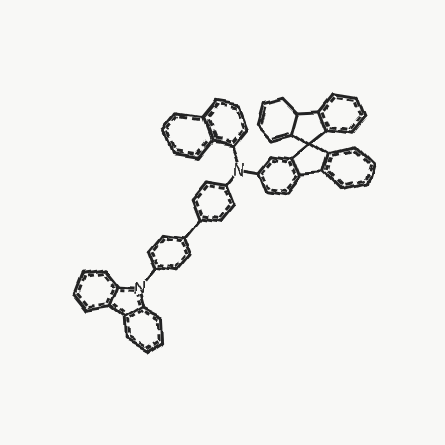 C1=CCC2C(=C1)C1(c3ccccc3-c3ccc(N(c4ccc(-c5ccc(-n6c7ccccc7c7ccccc76)cc5)cc4)c4cccc5ccccc45)cc31)c1ccccc12